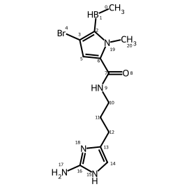 CBc1c(Br)cc(C(=O)NCCCc2c[nH]c(N)n2)n1C